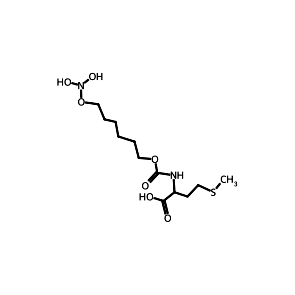 CSCCC(NC(=O)OCCCCCCON(O)O)C(=O)O